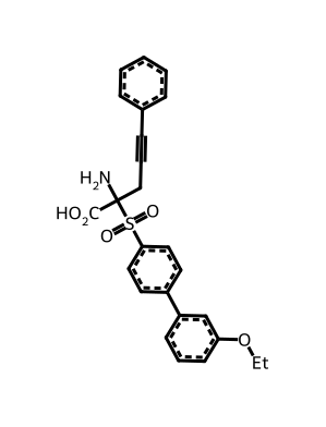 CCOc1cccc(-c2ccc(S(=O)(=O)C(N)(CC#Cc3ccccc3)C(=O)O)cc2)c1